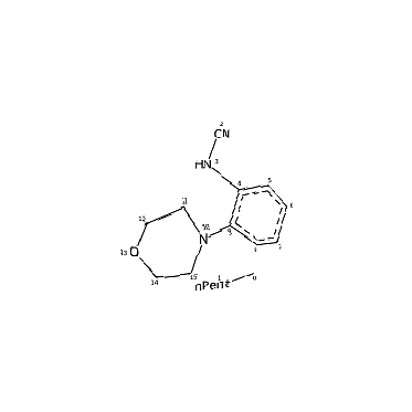 CCCCCC.N#CNc1ccccc1N1CCOCC1